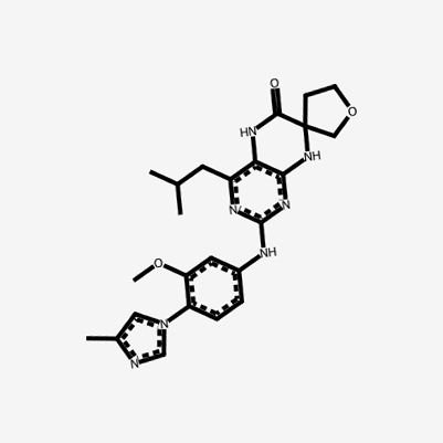 COc1cc(Nc2nc(CC(C)C)c3c(n2)NC2(CCOC2)C(=O)N3)ccc1-n1cnc(C)c1